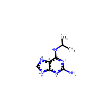 CC(C)Nc1nc(N)nc2[nH]cnc12